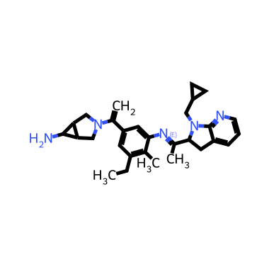 C=C(c1cc(CC)c(C)c(/N=C(\C)C2Cc3cccnc3N2CC2CC2)c1)N1CC2C(N)C2C1